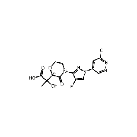 CC(O)(C(=O)O)[C@H]1OCCN(c2nn(-c3cnnc(Cl)c3)cc2F)C1=O